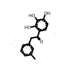 Cc1cccc(CC(=O)c2ccc(O)c(O)c2O)c1